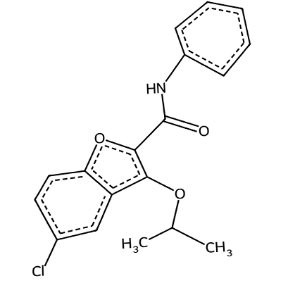 CC(C)Oc1c(C(=O)Nc2ccccc2)oc2ccc(Cl)cc12